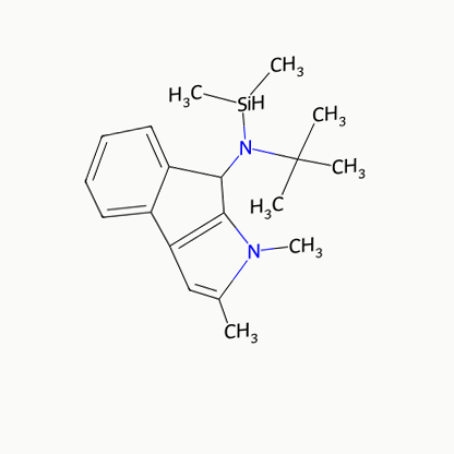 Cc1cc2c(n1C)C(N([SiH](C)C)C(C)(C)C)c1ccccc1-2